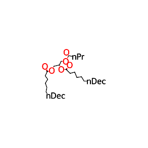 CCCCCCCCCCCCCCCC(=O)OCC(COC(=O)CCC)OC(=O)CCCCCCCCCCCCCCC